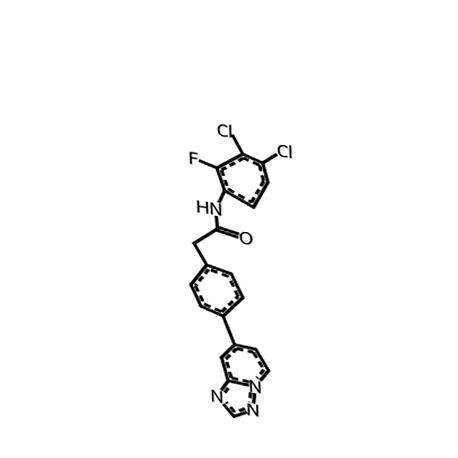 O=C(Cc1ccc(-c2ccn3ncnc3c2)cc1)Nc1ccc(Cl)c(Cl)c1F